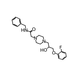 O=C(CN1CCN(CC(O)COc2ccccc2F)CC1)NCc1ccccc1